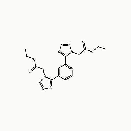 CCOC(=O)Cn1nnnc1-c1ccnc(-c2nnnn2CC(=O)OCC)c1